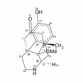 COC12[C@H](C)CC(=O)C[C@@]13CCN[C@@H]2Cc1ccc(O)cc13